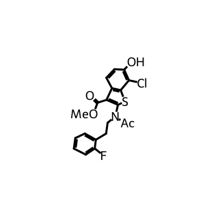 COC(=O)c1c(N(CCc2ccccc2F)C(C)=O)sc2c(Cl)c(O)ccc12